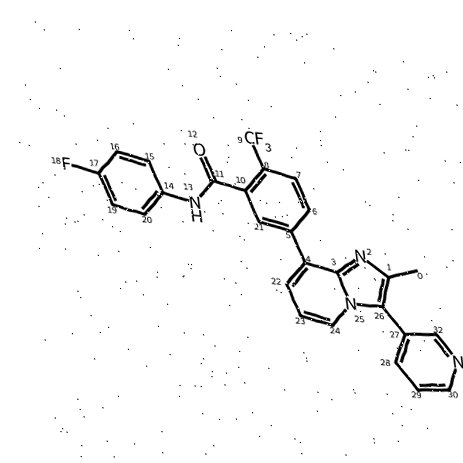 Cc1nc2c(-c3ccc(C(F)(F)F)c(C(=O)Nc4ccc(F)cc4)c3)cccn2c1-c1cccnc1